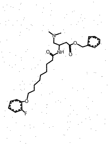 CN(C)CC(CC(=O)OCc1ccccc1)NC(=O)CCCCCCCCOc1ccccc1F